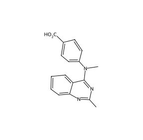 Cc1nc(N(C)c2ccc(C(=O)O)cc2)c2ccccc2n1